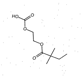 CCC(C)(C)C(=O)OCCOC(=O)O